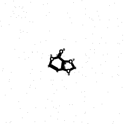 O=c1occc2c1OCO2